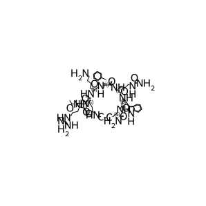 CC(=O)NC(CCCNC(=N)N)C(=O)N[C@H]1CC(=O)NCCCC[C@@H](C(N)=O)NC(=O)[C@H](Cc2c[nH]c3ccccc23)NC(=O)[C@H](CCCNC(N)=O)NC(=O)[C@@H](Cc2ccccc2)NC(=O)[C@H](CCCCN)NC1=O